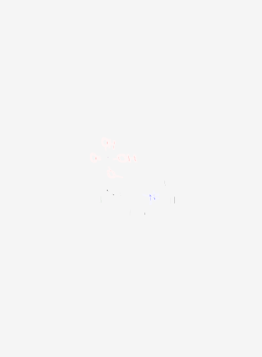 C[N+](C)(C)CCOP(=O)(O)O.Cl.[Na+]